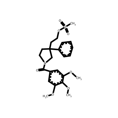 COc1cc(C(=O)N2CCC(CCOS(C)(=O)=O)(c3ccccc3)C2)cc(OC)c1OC